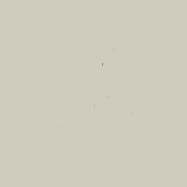 COc1ccc2c(n1)CCN(C(=O)[C@H]1C[C@H](CC(=O)O)C1)[C@H]2C(=O)Nc1cc(F)c(S(C)(C)C)c(F)c1